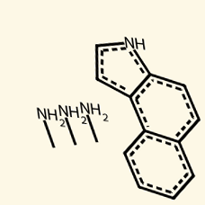 CN.CN.CN.c1ccc2c(c1)ccc1[nH]ccc12